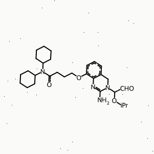 CC(C)OC(C=O)N1Cc2cccc(OCCCC(=O)N(C3CCCCC3)C3CCCCC3)c2N=C1N